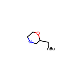 CCCCCC1C[N]CCO1